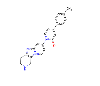 Cc1ccc(-c2ccn(-c3ccn4c5c(nc4c3)CCNC5)c(=O)c2)cc1